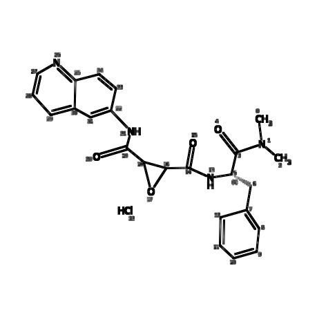 CN(C)C(=O)[C@H](Cc1ccccc1)NC(=O)C1OC1C(=O)Nc1ccc2ncccc2c1.Cl